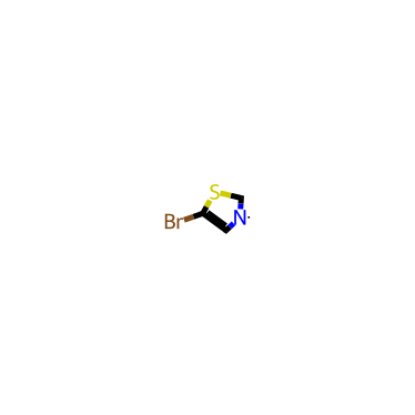 BrC1=C[N]CS1